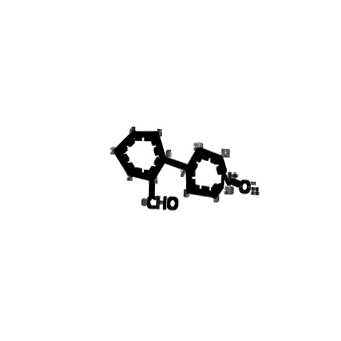 O=Cc1ccccc1-c1cc[n+]([O-])cc1